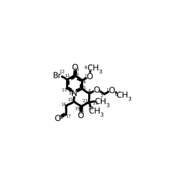 COCOC1c2c(OC)c(=O)c(Br)cn2C(CC=O)C(=O)C1(C)C